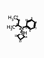 CCC(C)N(c1ccccc1)[SiH]1CCC1